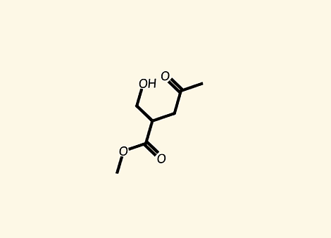 COC(=O)C(CO)CC(C)=O